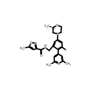 Cc1cc(-c2c(F)cc(N3CCO[C@H](C(F)(F)F)C3)cc2CNC(=O)c2cc(C)on2)cc(C)n1